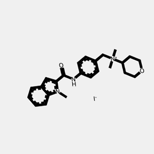 Cn1c(C(=O)Nc2ccc(C[N+](C)(C)C3CCOCC3)cc2)cc2ccccc21.[I-]